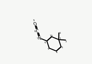 CC1(C)CCCC(N=C=O)C1